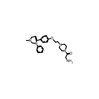 CN1CC=C(c2ccc(OCCN3CCN(C(=O)CN)CC3)cc2)N(c2ccccc2)C1